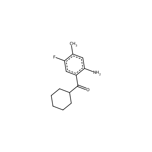 Cc1cc(N)c(C(=O)C2CCCCC2)cc1F